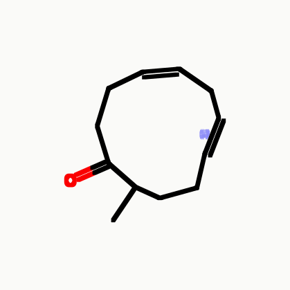 CC1CC/C=C/CC=CCCC1=O